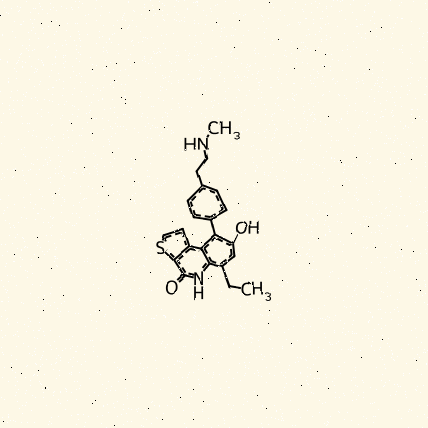 CCc1cc(O)c(-c2ccc(CCNC)cc2)c2c1[nH]c(=O)c1sccc12